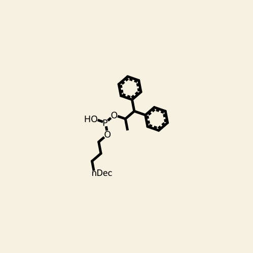 CCCCCCCCCCCCCOP(O)OC(C)C(c1ccccc1)c1ccccc1